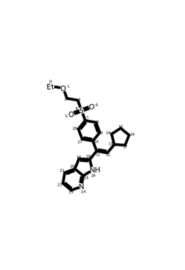 CCOCCS(=O)(=O)c1ccc(/C(=C\C2CCCC2)c2cc3cccnc3[nH]2)cc1